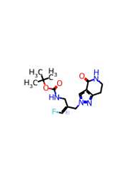 CC(C)(C)OC(=O)NC/C(=C\F)Cn1cc2c(n1)CCNC2=O